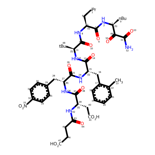 CCCC[C@H](NC(=O)[C@H](CC(C)C)NC(=O)[C@@H](NC(=O)[C@H](Cc1ccccc1C)NC(=O)[C@@H](Cc1ccc([N+](=O)[O-])cc1)NC(=O)[C@H](CC(=O)O)NC(=O)CCC(=O)O)C(C)(C)C)C(=O)C(N)=O